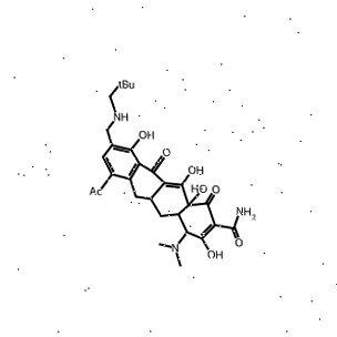 CC(=O)c1cc(CNCC(C)(C)C)c(O)c2c1CC1CC3C(N(C)C)C(O)=C(C(N)=O)C(=O)C3(O)C(O)=C1C2=O